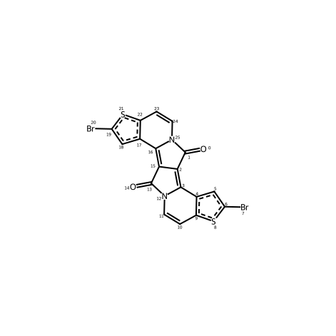 O=C1C2=C3c4cc(Br)sc4C=CN3C(=O)C2=C2c3cc(Br)sc3C=CN12